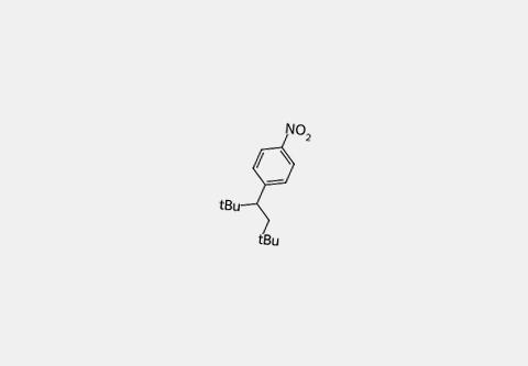 CC(C)(C)CC(c1ccc([N+](=O)[O-])cc1)C(C)(C)C